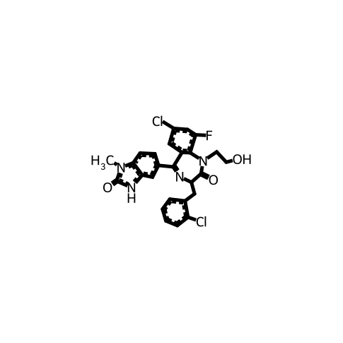 Cn1c(=O)[nH]c2cc(C3=NC(Cc4ccccc4Cl)C(=O)N(CCO)c4c(F)cc(Cl)cc43)ccc21